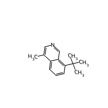 Cc1cncc2c(C(C)(C)C)cccc12